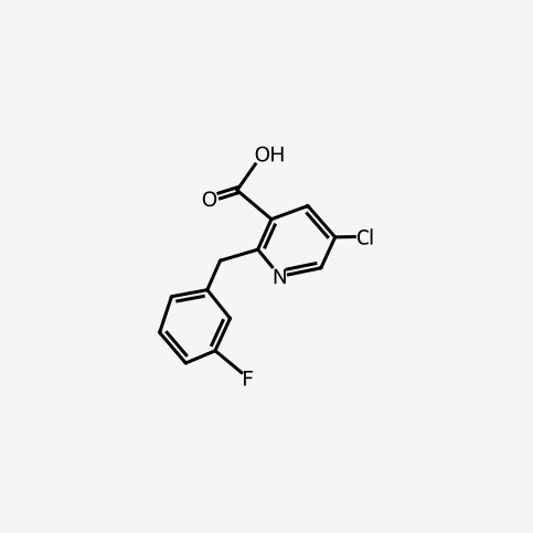 O=C(O)c1cc(Cl)cnc1Cc1cccc(F)c1